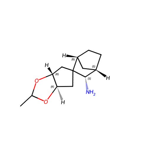 CC1O[C@@H]2CC3(C[C@H]2O1)[C@@H]1CC[C@@H](C1)[C@@H]3N